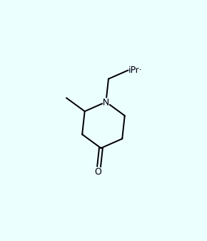 C[C](C)CN1CCC(=O)CC1C